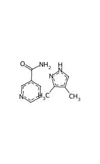 Cc1c[nH]nc1C.NC(=O)c1cccnc1